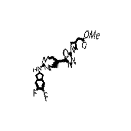 COC(=O)CC1CN(c2nnc(-c3cnc(NC4Cc5cc(F)c(F)cc5C4)nc3)o2)C1